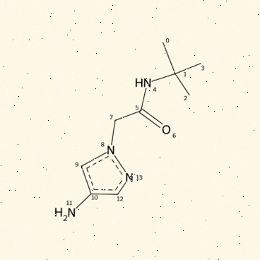 CC(C)(C)NC(=O)Cn1cc(N)cn1